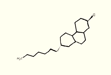 CCCCCCC[C@@H]1CCC2C(CCC3C[C@H](Cl)CCC32)C1